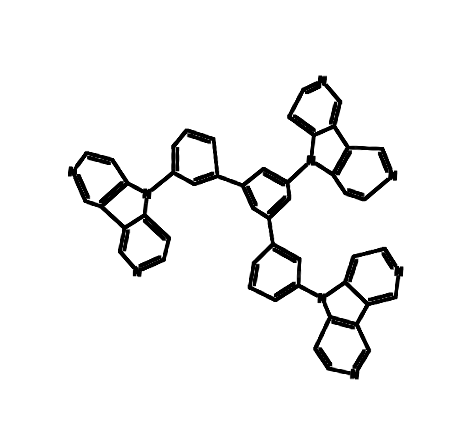 c1cc(-c2cc(-c3cccc(-n4c5ccncc5c5cnccc54)c3)cc(-n3c4ccncc4c4cnccc43)c2)cc(-n2c3ccncc3c3cnccc32)c1